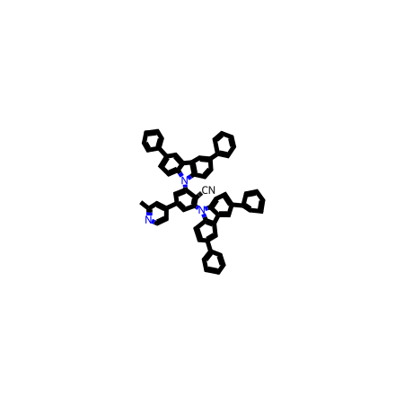 Cc1cc(-c2cc(-n3c4ccc(-c5ccccc5)cc4c4cc(-c5ccccc5)ccc43)c(C#N)c(-n3c4ccc(-c5ccccc5)cc4c4cc(-c5ccccc5)ccc43)c2)ccn1